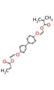 C=CC(=O)O/C=C\Oc1ccc(-c2ccc(O/C=C\OC(=O)C(=C)C)cc2)cc1